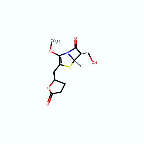 O=C(O)OC1=C(C[C@H]2CCC(=O)O2)S[C@@H]2[C@@H](CO)C(=O)N12